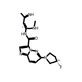 CN/C(=C\C(C)=N)NC(=O)c1cnc2ccc(N3CC[C@H](F)C3)nn12